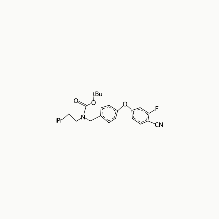 CC(C)CCN(Cc1ccc(Oc2ccc(C#N)c(F)c2)cc1)C(=O)OC(C)(C)C